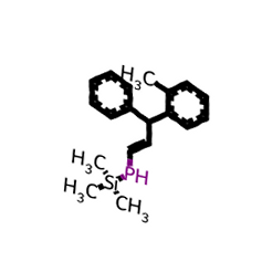 Cc1ccccc1C(C=CP[Si](C)(C)C)c1ccccc1